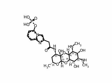 CN[C@@H]1[C@H](O)[C@H](NC)[C@H]2O[C@]3(O)[C@H](O[C@@H]2[C@H]1O)O[C@H](C)C[C@H]3NC(=O)Cc1cn2c(OP(=O)(O)O)cccc2n1